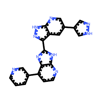 c1cncc(-c2ccnc3[nH]c(-c4n[nH]c5ncc(-c6cn[nH]c6)cc45)nc23)c1